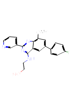 COc1cc(-c2ccc(F)cc2)cc2c(NCCO)nc(-c3cccnc3)nc12